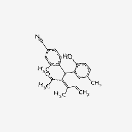 C=C/C(C)=C(/C(C)=O)C(c1ccc(C#N)cc1C)c1cc(C)ccc1O